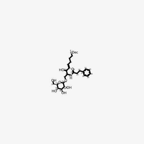 CCCCCCCCCCCCC/C=C/C(O)C(COC1O[C@H](CO)[C@@H](O)[C@H](O)[C@H]1O)NC(=O)CCc1ccccc1